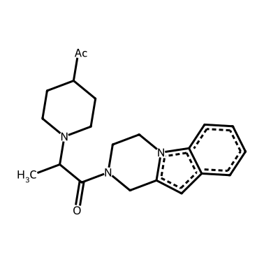 CC(=O)C1CCN(C(C)C(=O)N2CCn3c(cc4ccccc43)C2)CC1